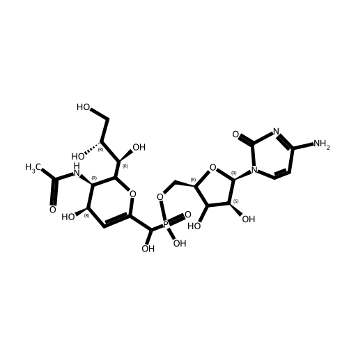 CC(=O)N[C@H]1C([C@H](O)[C@H](O)CO)OC(C(O)P(=O)(O)OC[C@H]2O[C@@H](n3ccc(N)nc3=O)[C@@H](O)C2O)=C[C@H]1O